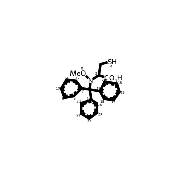 CON(C(CS)C(=O)O)C(c1ccccc1)(c1ccccc1)c1ccccc1